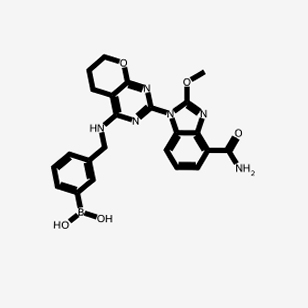 COc1nc2c(C(N)=O)cccc2n1-c1nc(NCc2cccc(B(O)O)c2)c2c(n1)OCCC2